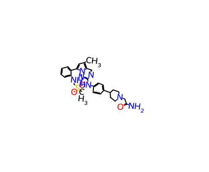 Cc1cc(-c2ccccc2NCS(C)(=O)=O)n2nc(Nc3ccc(C4CCN(CC(N)=O)CC4)cc3)ncc12